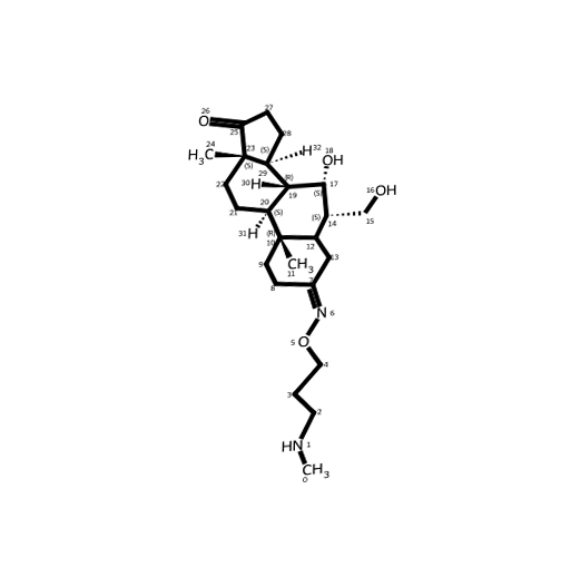 CNCCCON=C1CC[C@@]2(C)C(C1)[C@@H](CO)[C@@H](O)[C@@H]1[C@@H]2CC[C@]2(C)C(=O)CC[C@@H]12